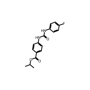 CC(C)OC(=O)c1ccc(NC(=O)Nc2ccc(F)cc2)cc1